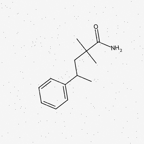 CC(CC(C)(C)C(N)=O)c1ccccc1